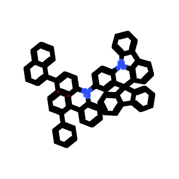 c1ccc(-c2ccccc2-c2ccccc2N(c2ccc(-c3cccc4ccccc34)cc2)c2ccc3c(c2)C2(c4ccccc4-c4ccccc42)c2cccc4c5ccccc5n-3c24)cc1